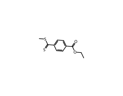 CCOC(=O)c1ccc(C(=S)SC)cc1